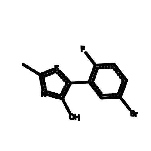 Cc1nc(O)c(-c2cc(Br)ccc2F)s1